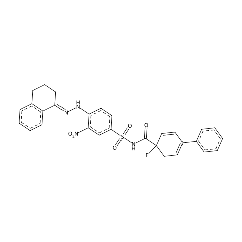 O=C(NS(=O)(=O)c1ccc(NN=C2CCCc3ccccc32)c([N+](=O)[O-])c1)C1(F)C=CC(c2ccccc2)=CC1